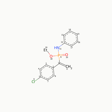 C=C(c1ccc(Cl)cc1)P(=O)(Nc1ccccc1)OCC